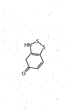 O=C1C=CC2=C(C1)NSS2